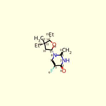 C=C1NC(=O)C(F)=CN1[C@@H]1C[C@@](C)(CC)[C@H](CC)O1